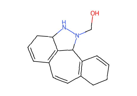 OCN1NC2CC=CC3=C2C1C1=C(C=C3)CCC=C1